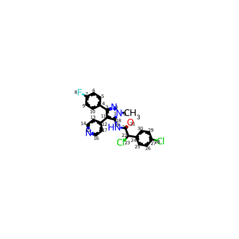 Cn1nc(-c2ccc(F)cc2)c(-c2ccncc2)c1NC(=O)C(Cl)c1ccc(Cl)cc1